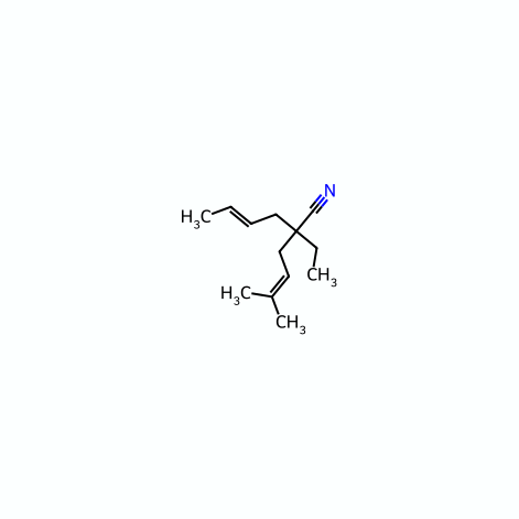 CC=CCC(C#N)(CC)CC=C(C)C